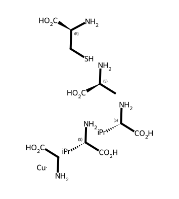 CC(C)[C@H](N)C(=O)O.CC(C)[C@H](N)C(=O)O.C[C@H](N)C(=O)O.NCC(=O)O.N[C@@H](CS)C(=O)O.[Cu]